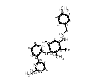 Cc1ccc(CSNc2cc(F)c(Oc3ncccc3-c3ccnc(N)n3)c(C)c2F)cc1